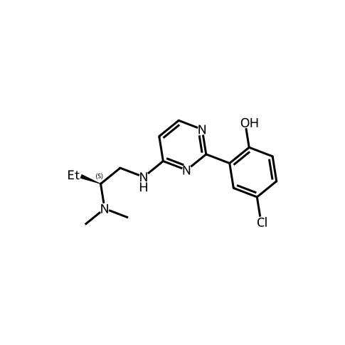 CC[C@@H](CNc1ccnc(-c2cc(Cl)ccc2O)n1)N(C)C